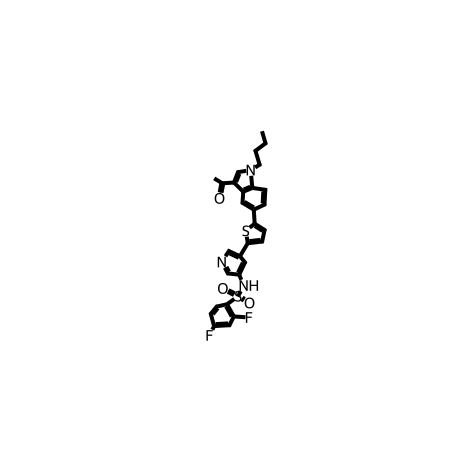 CCCCn1cc(C(C)=O)c2cc(-c3ccc(-c4cncc(NS(=O)(=O)c5ccc(F)cc5F)c4)s3)ccc21